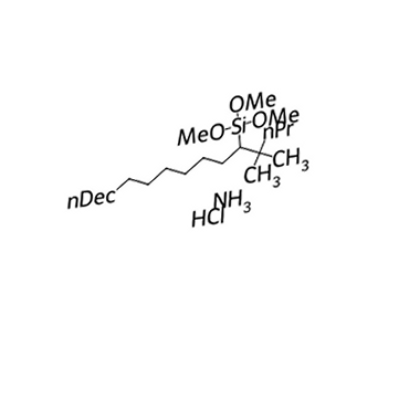 CCCCCCCCCCCCCCCCC(C(C)(C)CCC)[Si](OC)(OC)OC.Cl.N